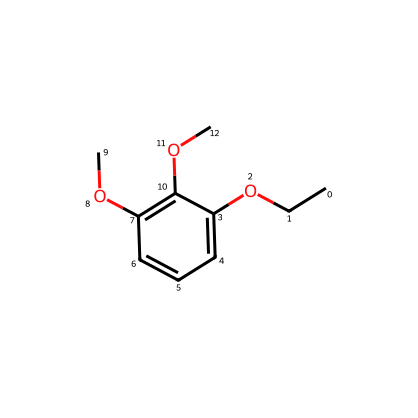 CCOc1cccc(OC)c1OC